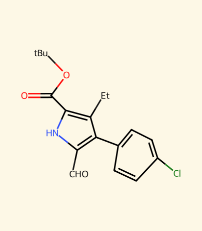 CCc1c(C(=O)OC(C)(C)C)[nH]c(C=O)c1-c1ccc(Cl)cc1